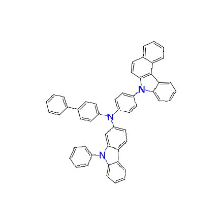 c1ccc(-c2ccc(N(c3ccc(-n4c5ccccc5c5c6ccccc6ccc54)cc3)c3ccc4c5ccccc5n(-c5ccccc5)c4c3)cc2)cc1